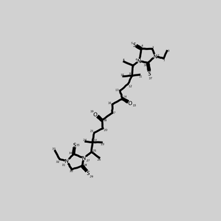 CCN1CC(=S)N(C(C)C(C)(C)CCC(=O)CCC(=O)CCC(C)(C)C(C)N2C(=S)CN(CC)C2=S)C1=S